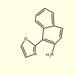 Nc1ccc2ccccc2c1-c1ncco1